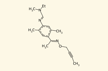 CC#CCON=C(C)c1cc(C)c(N=CN(C)CC)cc1C